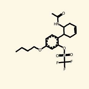 CCCCOc1ccc(C2CC=CCC2NC(C)=O)c(OS(=O)(=O)C(F)(F)F)c1